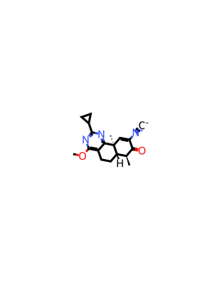 [C-]#[N+]C1=C[C@]2(C)c3nc(C4CC4)nc(OC)c3CC[C@H]2[C@H](C)C1=O